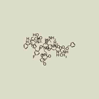 C[C@H](NC(=O)OCc1ccccc1)C(=O)N[C@@H](CC(=O)N[C@@H](CC(N)=O)C(=O)N[C@@H](CCN(C(=O)CO)[C@@H](c1cc(-c2cc(F)ccc2F)cn1Cc1ccccc1)C(C)(C)C)C(=O)NCCNC(=O)CN1C(=O)C=CC1=O)C(N)=O